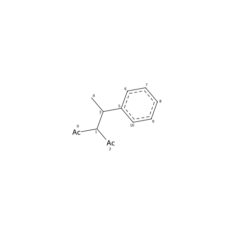 CC(=O)C(C(C)=O)C(C)c1ccccc1